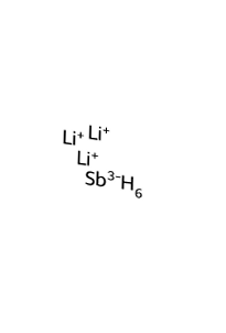 [Li+].[Li+].[Li+].[SbH6-3]